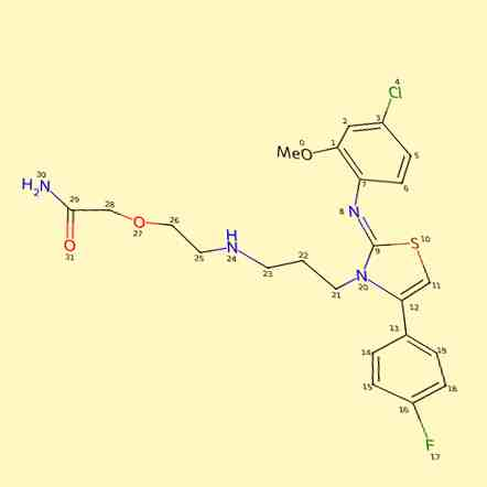 COc1cc(Cl)ccc1/N=c1\scc(-c2ccc(F)cc2)n1CCCNCCOCC(N)=O